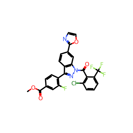 COC(=O)c1ccc(-c2nn(C(=O)c3c(Cl)cccc3C(F)(F)F)c3cc(-c4ncco4)ccc23)c(F)c1